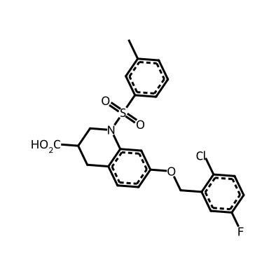 Cc1cccc(S(=O)(=O)N2CC(C(=O)O)Cc3ccc(OCc4cc(F)ccc4Cl)cc32)c1